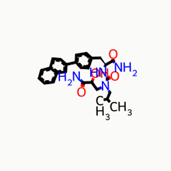 CC(C)CN(CC(O)C(N)=O)C(=O)N[C@@H](Cc1ccc(-c2ccc3ccccc3c2)cc1)C(N)=O